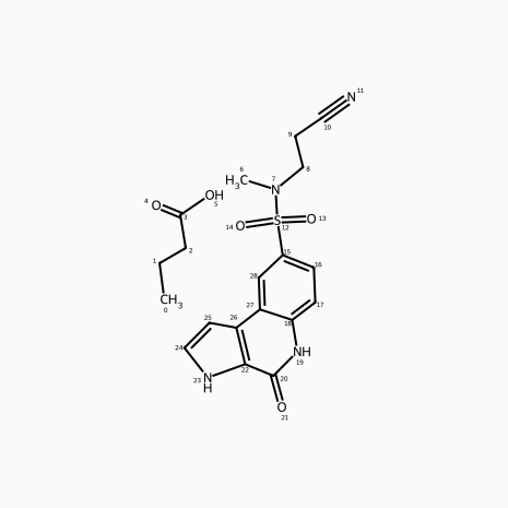 CCCC(=O)O.CN(CCC#N)S(=O)(=O)c1ccc2[nH]c(=O)c3[nH]ccc3c2c1